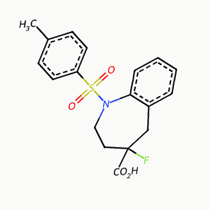 Cc1ccc(S(=O)(=O)N2CCC(F)(C(=O)O)Cc3ccccc32)cc1